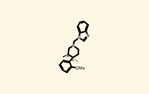 COc1ccccc1[C@]1(C)CCN(Cn2cnc3ccccc32)C[C@@H]1C